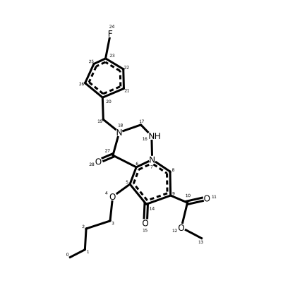 CCCCOc1c2n(cc(C(=O)OC)c1=O)NCN(Cc1ccc(F)cc1)C2=O